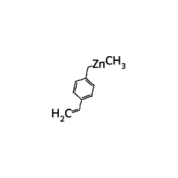 C=Cc1ccc([CH2][Zn][CH3])cc1